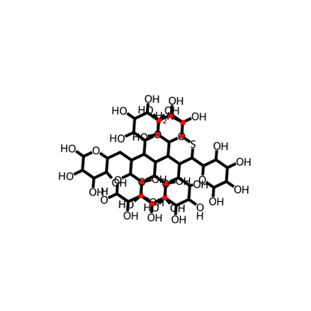 NCCSC(C1OC(O)C(O)C(O)C1O)C(C1OC(O)C(O)C(O)C1O)C(C1OC(O)C(O)C(O)C1O)C(C1OC(O)C(O)C(O)C1O)C(C(CC1OC(O)C(O)C(O)C1O)C1OC(O)C(O)C(O)C1O)C1OC(O)C(O)C(O)C1O